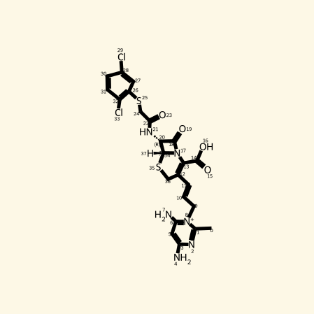 Cc1nc(N)cc(N)[n+]1CC=CC1=C(C(=O)O)N2C(=O)[C@@H](NC(=O)CSc3cc(Cl)ccc3Cl)[C@H]2SC1